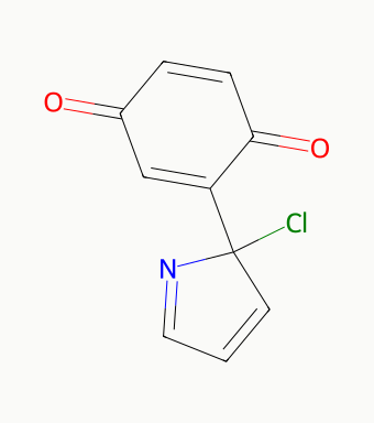 O=C1C=CC(=O)C(C2(Cl)C=CC=N2)=C1